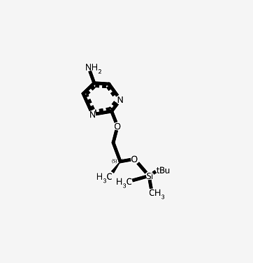 C[C@@H](COc1ncc(N)cn1)O[Si](C)(C)C(C)(C)C